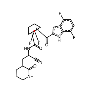 N#CC(CC1CCCNC1=O)NC(=O)C1C2CCC(CC2(F)F)N1C(=O)c1cc2c(F)ccc(F)c2[nH]1